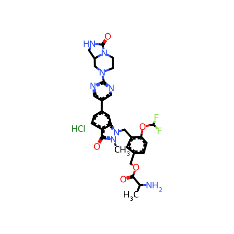 CC(N)C(=O)OCc1ccc(OC(F)F)c(Cn2c3cc(-c4cnc(N5CCN6C(=O)NCC6C5)nc4)ccc3c(=O)n2C)c1.Cl